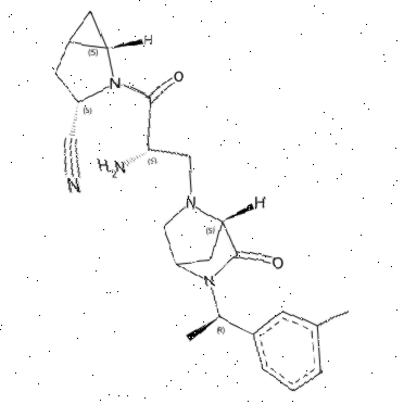 Cc1cccc([C@@H](C)N2C(=O)[C@@H]3CC2CN3C[C@H](N)C(=O)N2[C@H](C#N)CC3C[C@@H]32)c1